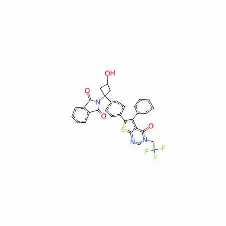 O=C1c2ccccc2C(=O)N1C1(c2ccc(-c3sc4ncn(CC(F)(F)F)c(=O)c4c3-c3ccccc3)cc2)CC(O)C1